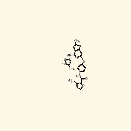 Cc1cn2c(Nc3cc(C)[nH]n3)nc(Sc3ccc(NC(=O)c4ocnc4C)cc3)cc2n1